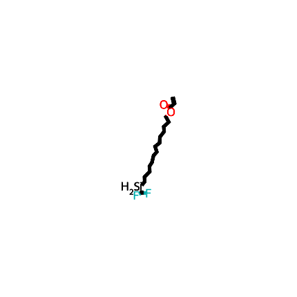 C=CC(=O)OCCCCCCCCCCCCCC[SiH2]C(F)F